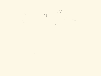 C=CCOc1ccc(-c2noc(C)c2C(=O)N=C(NC(=O)OC(C)(C)C)SC)cc1